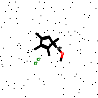 C[O][Ti+2][C]1(C)C=C(C)C(C)=C1C.[Cl-].[Cl-]